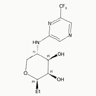 CC[C@H]1OC[C@H](Nc2cncc(C(F)(F)F)n2)[C@@H](O)[C@H]1O